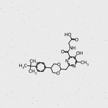 Cc1nc(CC2OCC(c3ccc(C(C)(C)C)cc3)CO2)nc(C(=O)NCC(=O)O)c1O